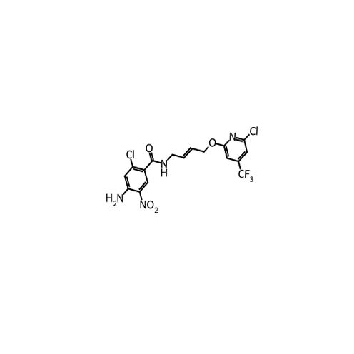 Nc1cc(Cl)c(C(=O)NC/C=C/COc2cc(C(F)(F)F)cc(Cl)n2)cc1[N+](=O)[O-]